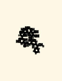 CC(c1ccccc1)C([C]=O)NC(=O)CNC(=O)C(CO)NC(=O)C(CO)NC1CNC(=N)N1C1OC(CO)C(O)C(O)C1O